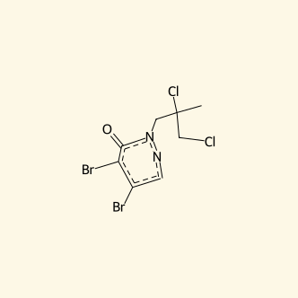 CC(Cl)(CCl)Cn1ncc(Br)c(Br)c1=O